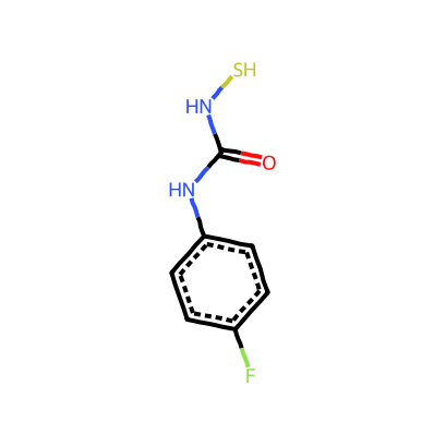 O=C(NS)Nc1ccc(F)cc1